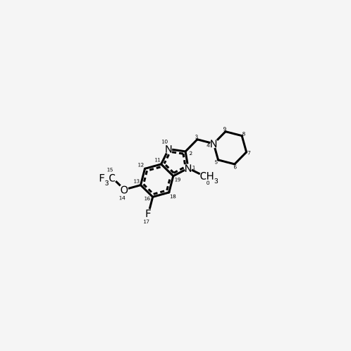 Cn1c(CN2CCCCC2)nc2cc(OC(F)(F)F)c(F)cc21